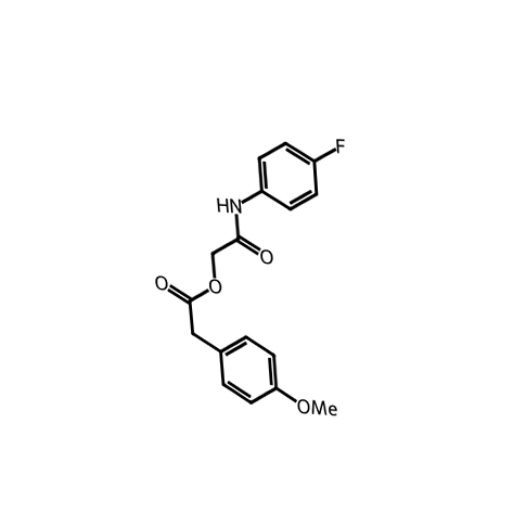 COc1ccc(CC(=O)OCC(=O)Nc2ccc(F)cc2)cc1